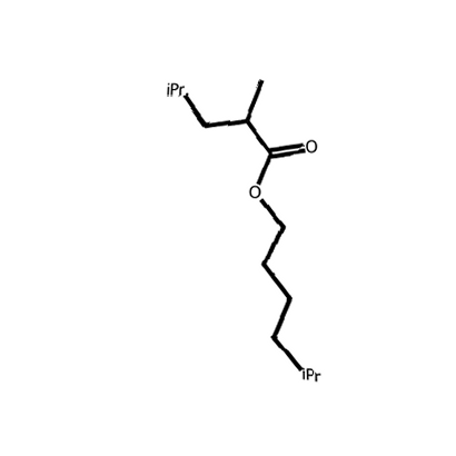 CC(C)CCCCOC(=O)C(C)CC(C)C